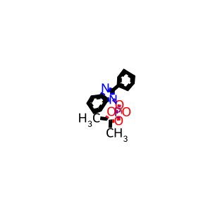 CCOP(=O)(OCC)On1c(-c2ccccc2)nc2ccccc21